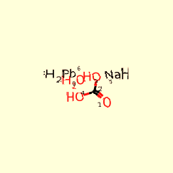 O.O=C(O)O.[NaH].[PbH2]